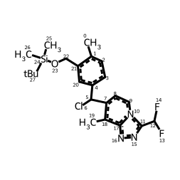 Cc1ccc(C(Cl)c2ccn3c(C(F)F)nnc3c2C)cc1CO[Si](C)(C)C(C)(C)C